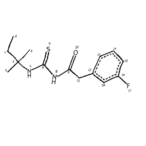 CCC(C)(C)NC(=S)NC(=O)Cc1cccc(F)c1